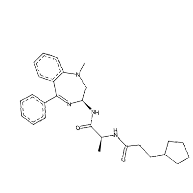 C[C@H](NC(=O)CCC1CCCC1)C(=O)N[C@@H]1CN(C)c2ccccc2C(c2ccccc2)=N1